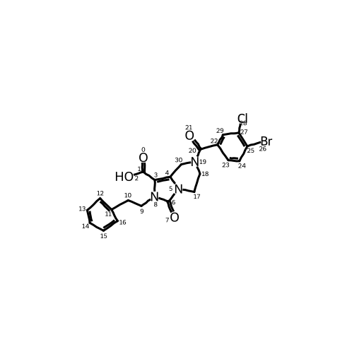 O=C(O)c1c2n(c(=O)n1CCc1ccccc1)CCN(C(=O)c1ccc(Br)c(Cl)c1)C2